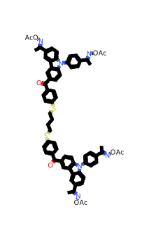 CC(=O)O/N=C(\C)c1ccc(-n2c3ccc(C(=O)c4ccc(SCCCCSc5ccc(C(=O)c6ccc7c(c6)c6cc(/C(C)=N/OC(C)=O)ccc6n7-c6ccc(/C(C)=N/OC(C)=O)cc6)cc5)cc4)cc3c3cc(/C(C)=N/OC(C)=O)ccc32)cc1